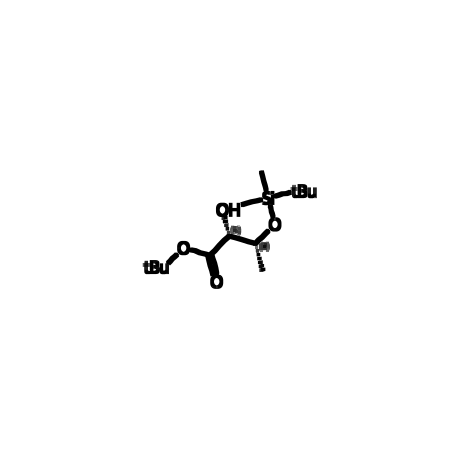 C[C@@H](O[Si](C)(C)C(C)(C)C)[C@@H](O)C(=O)OC(C)(C)C